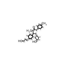 Cc1ccc(CC(=O)N(C)C(CN2CC[C@H](O)C2)c2ccc(OCCO)cc2)cn1